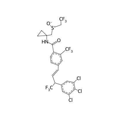 O=C(NC1(C[S+]([O-])CC(F)(F)F)CC1)c1ccc(/C=C/C(c2cc(Cl)c(Cl)c(Cl)c2)C(F)(F)F)cc1C(F)(F)F